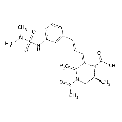 C=C1/C(=C\C=C\c2cccc(NS(=O)(=O)N(C)C)c2)N(C(C)=O)[C@@H](C)CN1C(C)=O